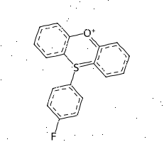 Fc1ccc(S2=c3ccccc3=[O+]c3ccccc32)cc1